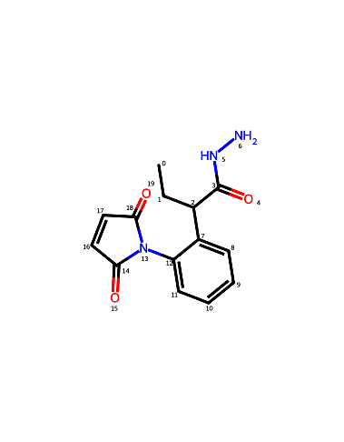 CCC(C(=O)NN)c1ccccc1N1C(=O)C=CC1=O